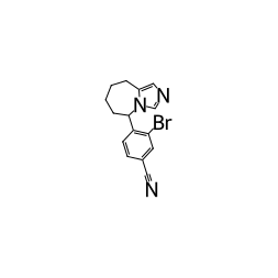 N#Cc1ccc(C2CCCCc3cncn32)c(Br)c1